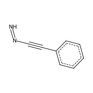 N=NC#Cc1ccccc1